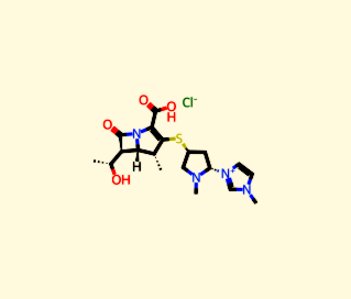 C[C@@H](O)[C@H]1C(=O)N2C(C(=O)O)=C(S[C@H]3C[C@H]([n+]4ccn(C)c4)N(C)C3)[C@H](C)[C@H]12.[Cl-]